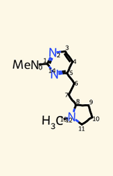 CNc1nccc(CCC2CCCN2C)n1